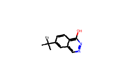 CCC(C)(C)c1ccc2c(O)nncc2c1